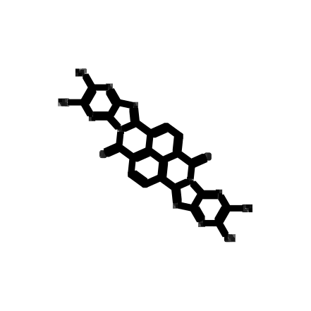 N#Cc1nc2nc3c4ccc5c(=O)n6c7nc(C#N)c(C#N)nc7nc6c6ccc(c(=O)n3c2nc1C#N)c4c56